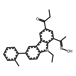 CCC(=O)c1cc(C(C)=NO)c2c(c1)c1cc(-c3ccccc3C)ccc1n2CC